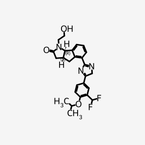 CC(C)Oc1ccc(C2=NC(c3cccc4c3C[C@H]3CC(=O)N(CCO)[C@@H]43)=NC2)cc1C(F)F